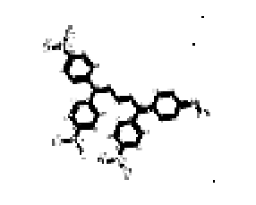 CCC(C)N=C1C=CC(=C(C=CC=C(c2ccc(N(CC)CC)cc2)c2ccc(N(CC)CC)cc2)c2ccc(N(CC)CC)cc2)C=C1